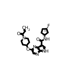 C=CC(=O)N1CCC(Oc2cnc3[nH]cc(C(=O)N[C@H]4CC[C@H](F)C4)c3n2)CC1